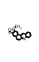 COc1cc2ccc3nc4ccccc4cc3c2cc1OC